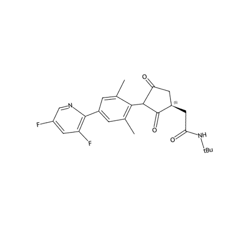 Cc1cc(-c2ncc(F)cc2F)cc(C)c1C1C(=O)C[C@@H](CC(=O)NC(C)(C)C)C1=O